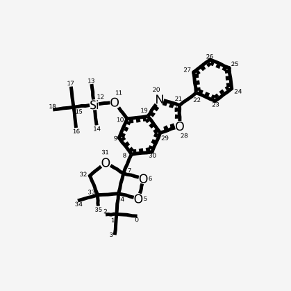 CC(C)(C)C12OOC1(c1cc(O[Si](C)(C)C(C)(C)C)c3nc(-c4ccccc4)oc3c1)OCC2(C)C